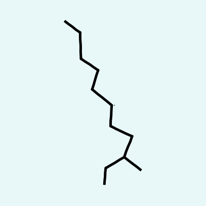 CCCCC[CH]CCC(C)CC